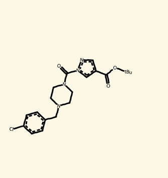 CC(C)(C)OC(=O)c1cnn(C(=O)N2CCN(Cc3ccc(Cl)cc3)CC2)c1